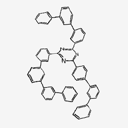 c1ccc(-c2cccc(-c3ccc(-c4nc(-c5cccc(-c6cccc(-c7ccccc7)c6)c5)nc(-c5cccc(-c6cccc(-c7cccc(-c8ccccc8)c7)c6)c5)n4)cc3)c2)cc1